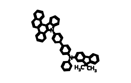 CC1(C)c2ccccc2-c2ccc(N(c3ccc(C4C=CC(n5c6ccccc6c6c7c8ccccc8ccc7c7ccccc7c65)=CC4)cc3)C3C=CC=CC3)cc21